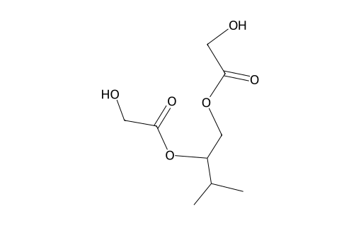 CC(C)C(COC(=O)CO)OC(=O)CO